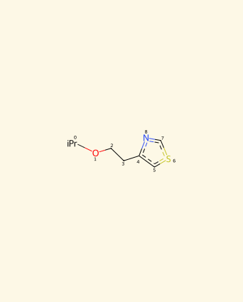 CC(C)OCCc1cscn1